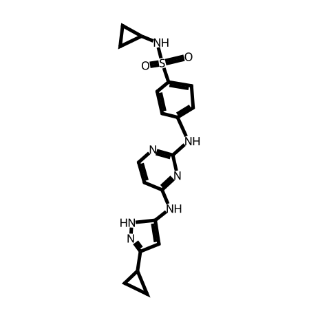 O=S(=O)(NC1CC1)c1ccc(Nc2nccc(Nc3cc(C4CC4)n[nH]3)n2)cc1